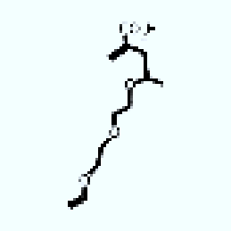 C=COCCOCCOC(C)CC(=C)C(=O)O